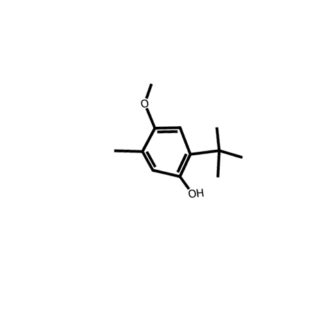 COc1cc(C(C)(C)C)c(O)cc1C